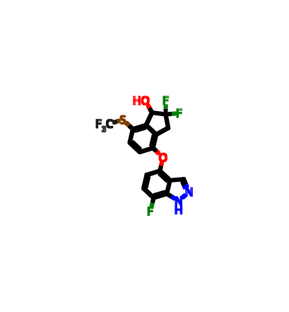 OC1c2c(SC(F)(F)F)ccc(Oc3ccc(F)c4[nH]ncc34)c2CC1(F)F